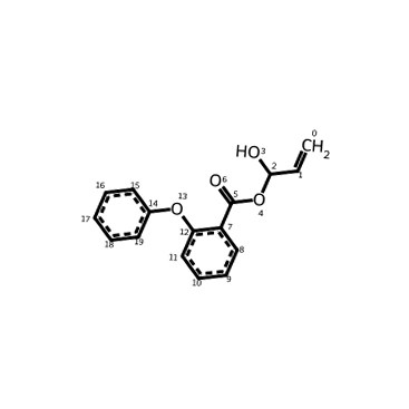 C=CC(O)OC(=O)c1ccccc1Oc1ccccc1